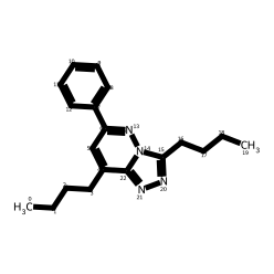 CCCCc1cc(-c2ccccc2)nn2c(CCCC)nnc12